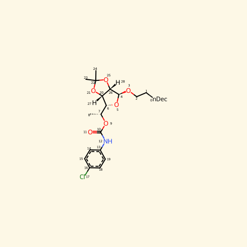 CCCCCCCCCCCCO[C@H]1O[C@H]([C@@H](C)OC(=O)Nc2ccc(Cl)cc2)[C@@H]2OC(C)(C)O[C@H]12